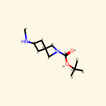 CNC1CC2(C1)CN(C(=O)OC(C)(C)C)C2